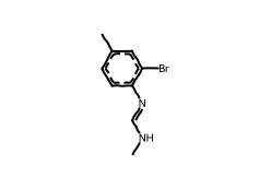 CN/C=N/c1ccc(C)cc1Br